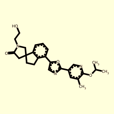 Cc1cc(-c2ncc(-c3cccc4c3CCC43CC(=O)N(CCO)C3)o2)cnc1OC(C)C